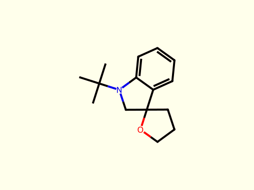 CC(C)(C)N1CC2(CCCO2)c2ccccc21